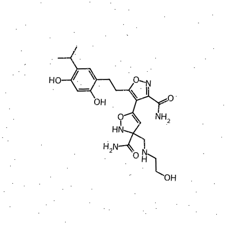 CC(C)c1cc(CCc2onc(C(N)=O)c2C2=CC(CNCCO)(C(N)=O)NO2)c(O)cc1O